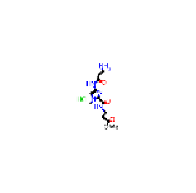 COC(=O)CCNC(=O)c1nc(NC(=O)CCN)cn1C.Cl